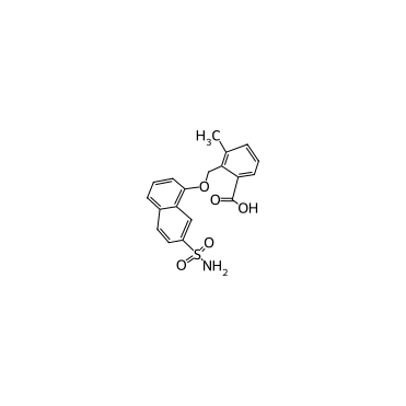 Cc1cccc(C(=O)O)c1COc1cccc2ccc(S(N)(=O)=O)cc12